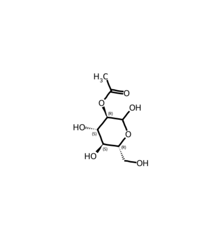 CC(=O)O[C@H]1[C](O)O[C@H](CO)[C@@H](O)[C@@H]1O